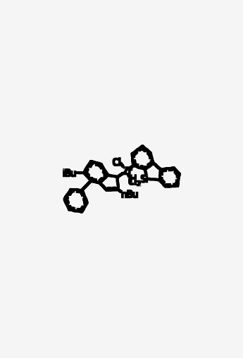 CCCCC1=Cc2c(ccc(C(C)CC)c2-c2ccccc2)[CH]1[Zr]([Cl])([Cl])[c]1cccc2c1[SiH2]c1ccccc1-2